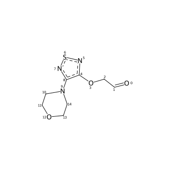 O=CCOc1nsnc1N1CCOCC1